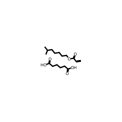 C=CC(=O)OCCCCCC(C)C.O=C(O)CCCCC(=O)O